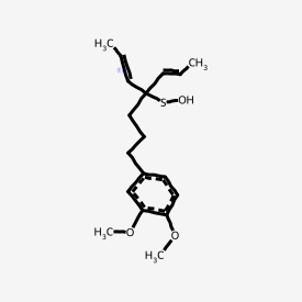 CC=CC(/C=C/C)(CCCc1ccc(OC)c(OC)c1)SO